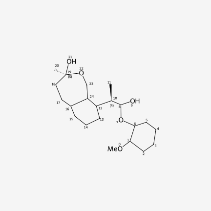 COC1CCCCC1OC(O)[C@H](C)C1CCCC2CC[C@@](C)(O)OCC21